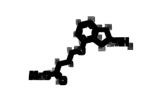 COC(=O)CCCOc1cccc2c1CC(N)C2